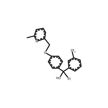 CCC(O)(c1ccc(OCc2cccc(C)n2)cc1)c1cccc(C(F)(F)F)c1